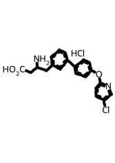 Cl.NC(CC(=O)O)Cc1cccc(-c2ccc(Oc3ccc(Cl)cn3)cc2)c1